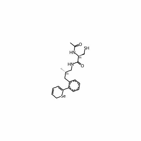 CC(=O)N[C@@H](CS)C(=O)NC[C@@H](C)Cc1ccccc1C1=CC=CC[Se]1